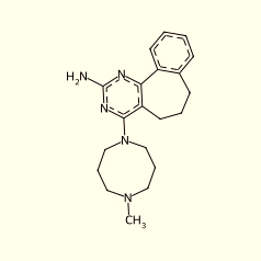 CN1CCCN(c2nc(N)nc3c2CCCc2ccccc2-3)CCC1